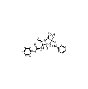 CC1(CNc2ccccc2)S[C@H]2C(NC(=O)Cc3ccccc3)C(=O)N2C1C(=O)O